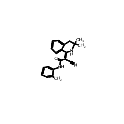 Cc1ccccc1NC(=O)C(C#N)=C1NC(C)(C)Cc2ccccc21